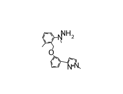 Cc1cccc(N(C)N)c1COc1cccc(-c2ccn(C)n2)c1